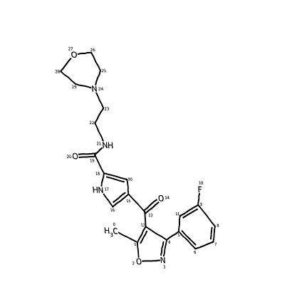 Cc1onc(-c2cccc(F)c2)c1C(=O)c1c[nH]c(C(=O)NCCN2CCOCC2)c1